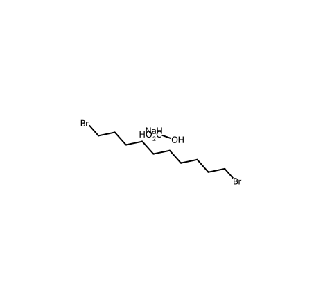 BrCCCCCCCCCCBr.O=C(O)O.[NaH]